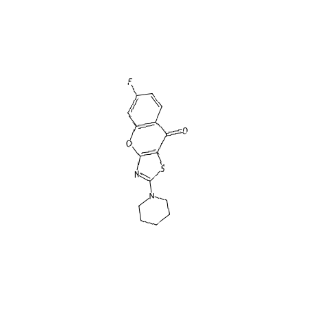 O=c1c2ccc(F)cc2oc2nc(N3CCCCC3)sc12